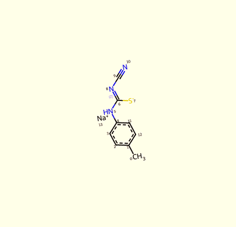 Cc1ccc(N/C([S-])=N/C#N)cc1.[Na+]